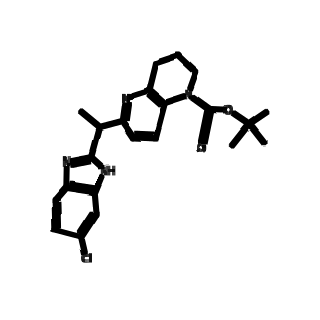 CC(c1ccc2c(n1)CCCN2C(=O)OC(C)(C)C)c1nc2ccc(Cl)cc2[nH]1